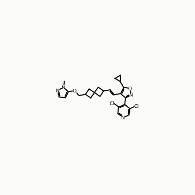 Cn1nccc1OCC1CC2(CC(/C=C/c3c(-c4c(Cl)cncc4Cl)noc3C3CC3)C2)C1